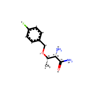 C[C@H](OCc1ccc(F)cc1)[C@H](N)C(N)=O